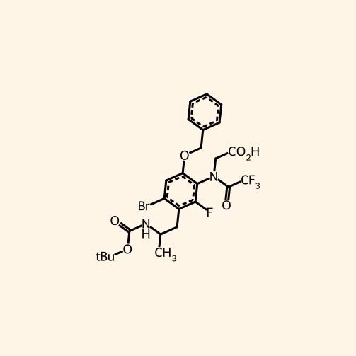 CC(Cc1c(Br)cc(OCc2ccccc2)c(N(CC(=O)O)C(=O)C(F)(F)F)c1F)NC(=O)OC(C)(C)C